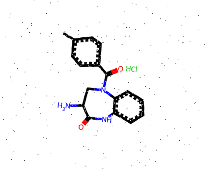 Cc1ccc(C(=O)N2CC(N)C(=O)Nc3ccccc32)cc1.Cl